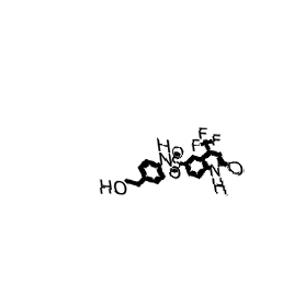 O=c1cc(C(F)(F)F)c2cc(S(=O)(=O)Nc3ccc(CCO)cc3)ccc2[nH]1